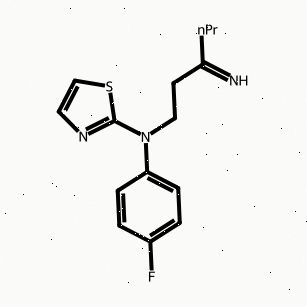 CCCC(=N)CCN(c1ccc(F)cc1)c1nccs1